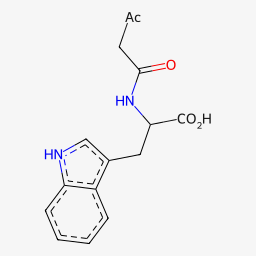 CC(=O)CC(=O)NC(Cc1c[nH]c2ccccc12)C(=O)O